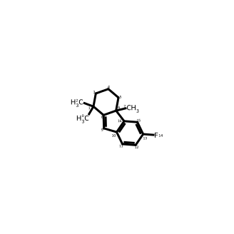 CC1(C)CCCC2(C)C1=Cc1ccc(F)cc12